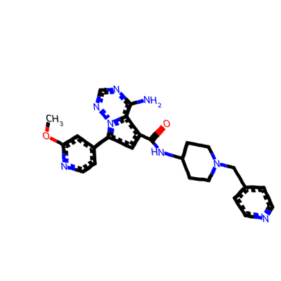 COc1cc(-c2cc(C(=O)NC3CCN(Cc4ccncc4)CC3)c3c(N)ncnn23)ccn1